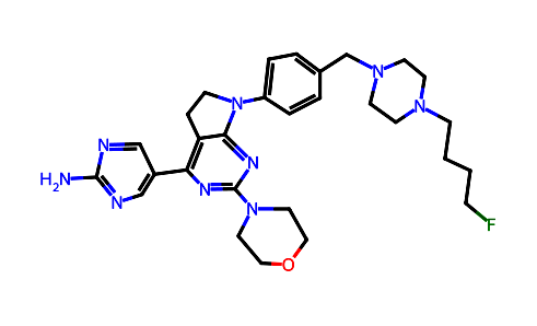 Nc1ncc(-c2nc(N3CCOCC3)nc3c2CCN3c2ccc(CN3CCN(CCCCF)CC3)cc2)cn1